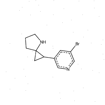 Brc1cncc(C2CC23CCCN3)c1